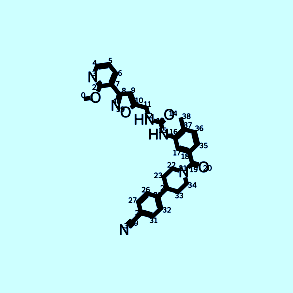 COc1ncccc1-c1cc(CNC(=O)Nc2cc(C(=O)N3CCC(c4ccc(C#N)cc4)CC3)ccc2C)on1